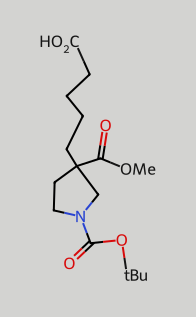 COC(=O)C1(CCCCC(=O)O)CCN(C(=O)OC(C)(C)C)C1